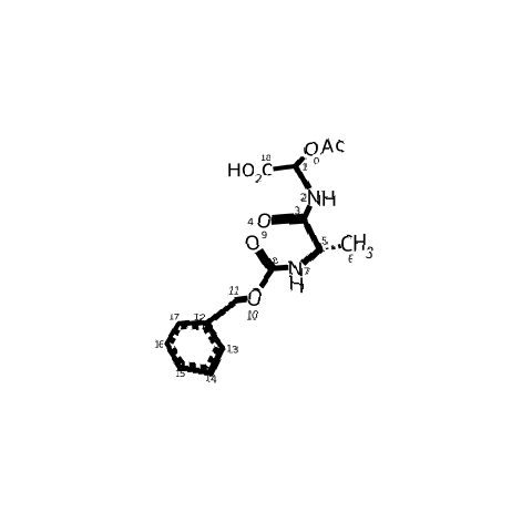 CC(=O)OC(NC(=O)[C@H](C)NC(=O)OCc1ccccc1)C(=O)O